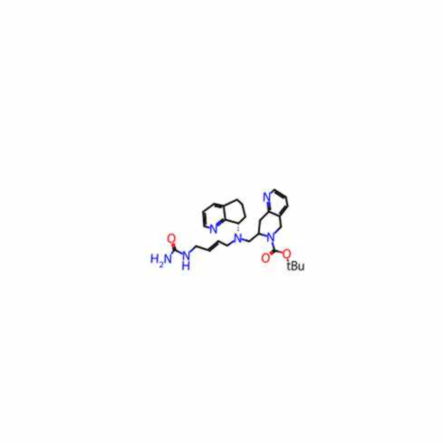 CC(C)(C)OC(=O)N1Cc2cccnc2CC1CN(C/C=C/CNC(N)=O)[C@H]1CCCc2cccnc21